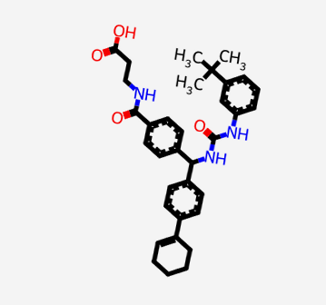 CC(C)(C)c1cccc(NC(=O)NC(c2ccc(C(=O)NCCC(=O)O)cc2)c2ccc(C3=CCCCC3)cc2)c1